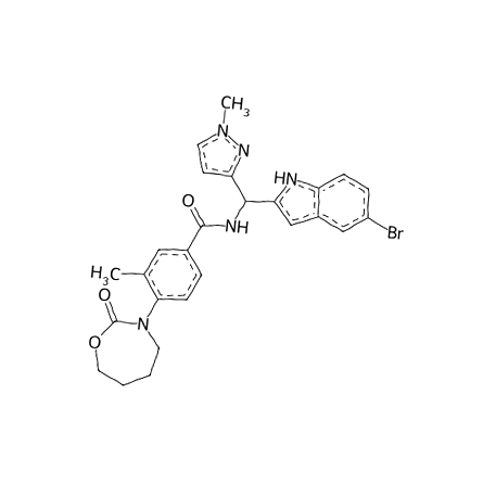 Cc1cc(C(=O)NC(c2ccn(C)n2)c2cc3cc(Br)ccc3[nH]2)ccc1N1CCCCOC1=O